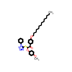 CCCCCCCCCCCCCCOc1ccc(C(=O)C(Oc2ccc(OC)cc2)Sc2nnnn2-c2ccccc2)cc1